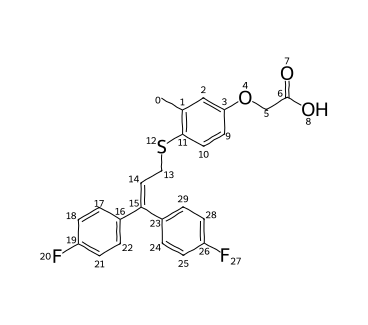 Cc1cc(OCC(=O)O)ccc1SCC=C(c1ccc(F)cc1)c1ccc(F)cc1